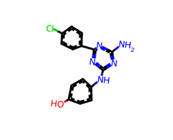 Nc1nc(Nc2ccc(O)cc2)nc(-c2ccc(Cl)cc2)n1